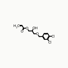 C=CC(=O)OCC(O)COCc1ccc(Cl)c(Cl)c1